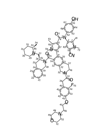 Cc1c(N(C(=O)c2cc(-c3cc4c(cc3C(=O)N3Cc5ccccc5C[C@H]3CN3CCCC[C@H]3C)CN(C(=O)Cc3ccc(OCCN5CCOCC5)cc3F)CC4)n(C)c2C)c2ccc(O)cc2)cc(C#N)n1C